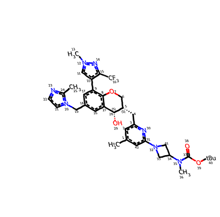 Cc1cc(C[C@H]2COc3c(-c4cn(C)nc4C(F)(F)F)cc(Cn4ccnc4C)cc3[C@H]2O)nc(N2CC(N(C)C(=O)OC(C)(C)C)C2)c1